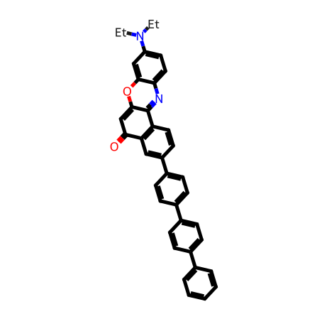 CCN(CC)c1ccc2nc3c4ccc(-c5ccc(-c6ccc(-c7ccccc7)cc6)cc5)cc4c(=O)cc-3oc2c1